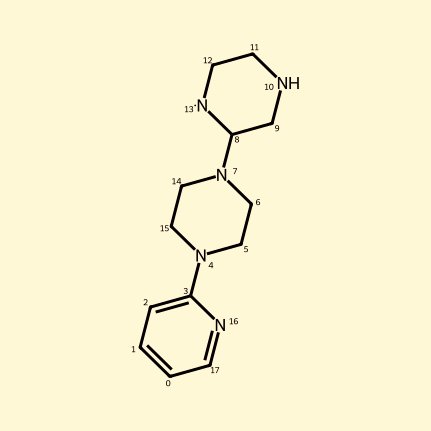 c1ccc(N2CCN(C3CNCC[N]3)CC2)nc1